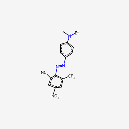 CCN(C)c1ccc(N=Nc2c(C#N)cc([N+](=O)[O-])cc2C(F)(F)F)cc1